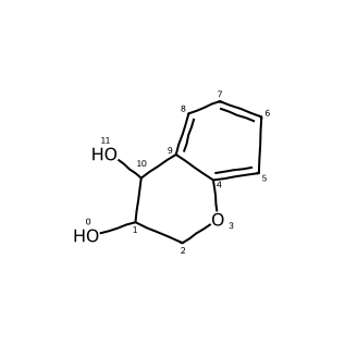 OC1COc2ccccc2C1O